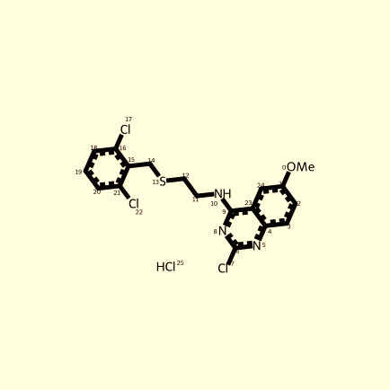 COc1ccc2nc(Cl)nc(NCCSCc3c(Cl)cccc3Cl)c2c1.Cl